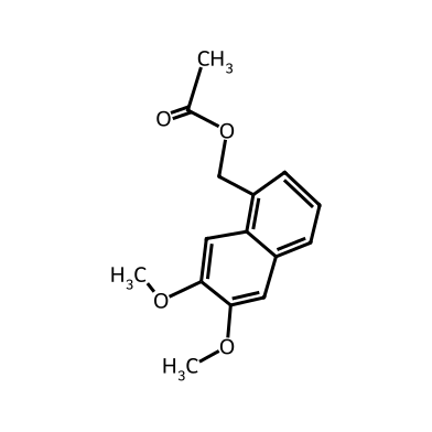 COc1cc2cccc(COC(C)=O)c2cc1OC